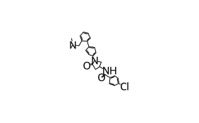 CN(C)Cc1ccccc1-c1ccc(N2CC(NC(=O)c3ccc(Cl)cc3)CC2=O)cc1